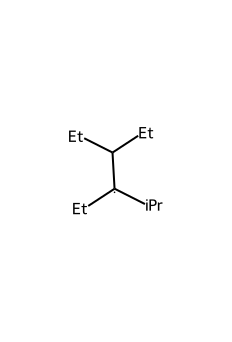 CC[C](C(C)C)C(CC)CC